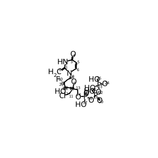 C=C1NC(=O)C=CN1[C@@H]1O[C@](CCl)(COP(=O)(O)OP(=O)(O)OP(=O)(O)O)[C@@H](O)[C@@H]1F